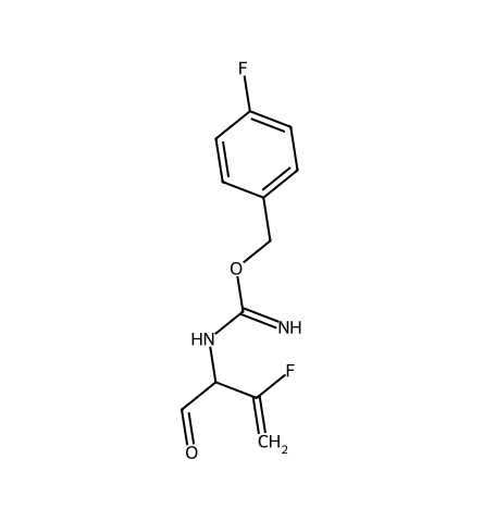 C=C(F)C(C=O)NC(=N)OCc1ccc(F)cc1